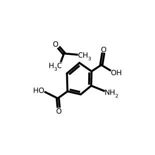 CC(C)=O.Nc1cc(C(=O)O)ccc1C(=O)O